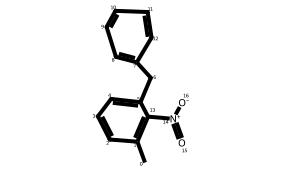 Cc1cccc(Cc2ccccc2)c1[N+](=O)[O-]